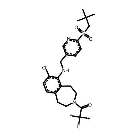 CC(C)(C)CS(=O)(=O)c1ccc(CNc2c(Cl)ccc3c2CCN(C(=O)C(F)(F)F)CC3)cn1